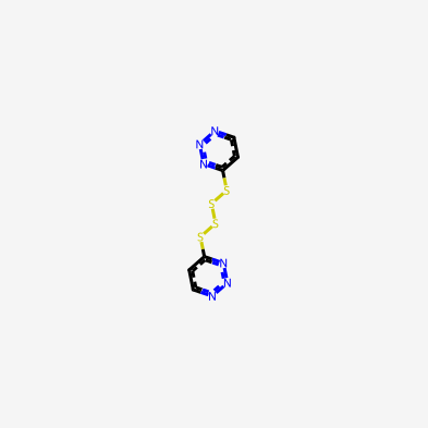 c1cc(SSSSc2ccnnn2)nnn1